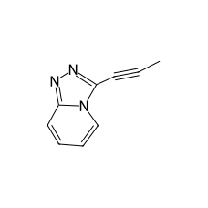 CC#Cc1nnc2ccccn12